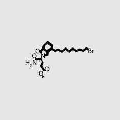 COC(=O)CC[C@@H](C(N)=O)N1Cc2c(CCCCCCCCCCBr)cccc2C1=O